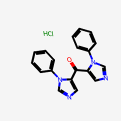 Cl.O=C(c1cncn1-c1ccccc1)c1cncn1-c1ccccc1